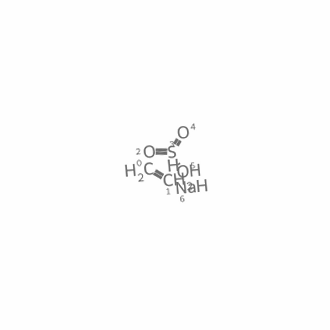 C=C.O=[SH](=O)O.[NaH]